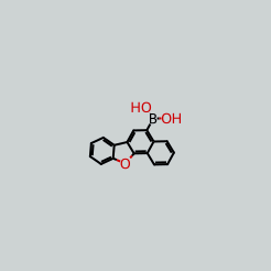 OB(O)c1cc2c3ccccc3oc2c2ccccc12